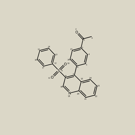 CC(=O)c1ccc(-c2c(S(=O)(=O)c3ccccc3)cnc3ccccc23)cc1